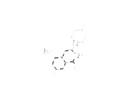 Cc1cc(Br)c2cc(N3CCC(C)CC3)n(C)c(=O)c2c1